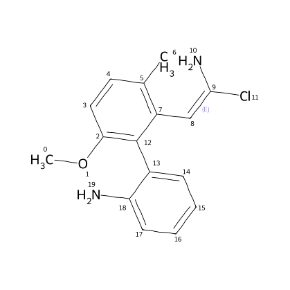 COc1ccc(C)c(/C=C(\N)Cl)c1-c1ccccc1N